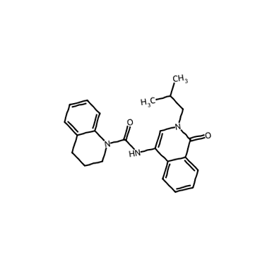 CC(C)Cn1cc(NC(=O)N2CCCc3ccccc32)c2ccccc2c1=O